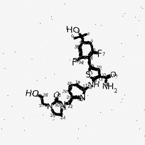 CC(C)(O)c1cc(F)c(-c2cc(C(N)=O)c(Nc3cccc(CN4CCN(CCO)C4=O)n3)s2)c(F)c1